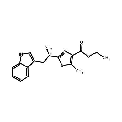 CCOC(=O)c1nc([C@H](N)Cc2c[nH]c3ccccc23)sc1C